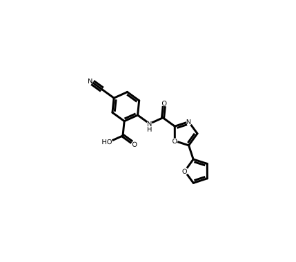 N#Cc1ccc(NC(=O)c2ncc(-c3ccco3)o2)c(C(=O)O)c1